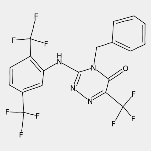 O=c1c(C(F)(F)F)nnc(Nc2cc(C(F)(F)F)ccc2C(F)(F)F)n1Cc1ccccc1